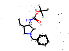 CCC1CN(Cc2ccccc2)CC1NC(=O)OC(C)(C)C